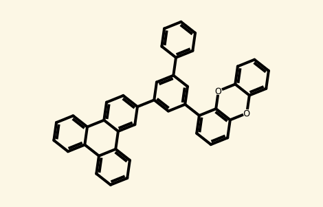 c1ccc(-c2cc(-c3ccc4c5ccccc5c5ccccc5c4c3)cc(-c3cccc4c3Oc3ccccc3O4)c2)cc1